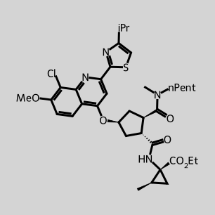 CCCCCN(C)C(=O)[C@@H]1C[C@H](Oc2cc(-c3nc(C(C)C)cs3)nc3c(Cl)c(OC)ccc23)C[C@H]1C(=O)N[C@]1(C(=O)OCC)C[C@H]1C